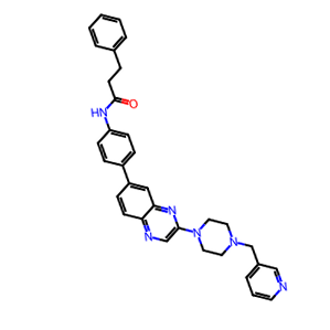 O=C(CCc1ccccc1)Nc1ccc(-c2ccc3ncc(N4CCN(Cc5cccnc5)CC4)nc3c2)cc1